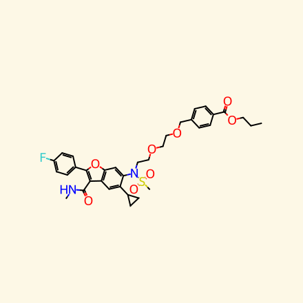 CCCOC(=O)c1ccc(COCCOCCN(c2cc3oc(-c4ccc(F)cc4)c(C(=O)NC)c3cc2C2CC2)S(C)(=O)=O)cc1